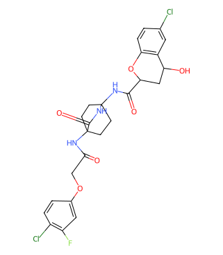 O=C(COc1ccc(Cl)c(F)c1)NC12CCC(NC(=O)C3CC(O)c4cc(Cl)ccc4O3)(CC1)NC2=O